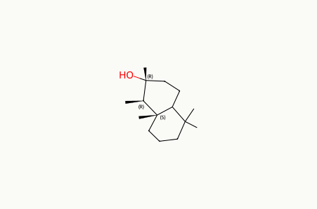 C[C@@H]1[C@@]2(C)CCCC(C)(C)C2CC[C@@]1(C)O